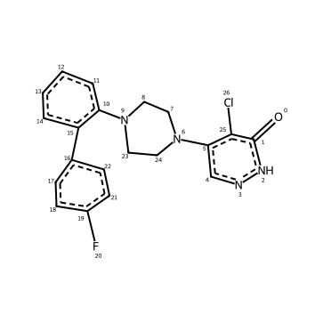 O=c1[nH]ncc(N2CCN(c3ccccc3-c3ccc(F)cc3)CC2)c1Cl